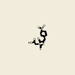 O=C(O)CN1C(=O)/C(=C\c2ccc([N+](=O)[O-])cc2)SC1=S